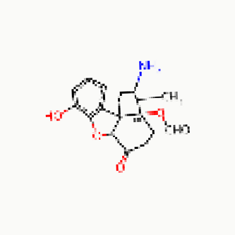 CC1C(N)CCC23c4cccc(O)c4OC2C(=O)CC[C@@]13OC=O